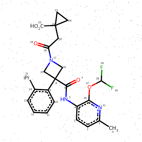 Cc1ccc(NC(=O)C2(c3ccccc3C(C)C)CN(C(=O)CC3(C(=O)O)CC3)C2)c(OC(F)F)n1